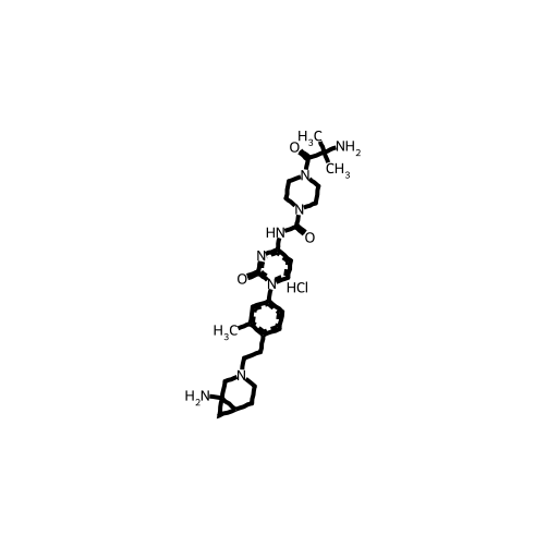 Cc1cc(-n2ccc(NC(=O)N3CCN(C(=O)C(C)(C)N)CC3)nc2=O)ccc1CCN1CCC2CC2(N)C1.Cl